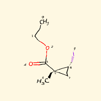 CCOC(=O)[C@@]1(C)C[C@H]1I